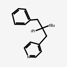 C[C](C)C(Cc1ccccc1)(Cc1ccncc1)C(C)(C)C